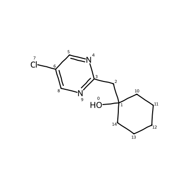 OC1(Cc2ncc(Cl)cn2)CCCCC1